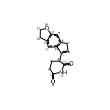 O=C1CCC(C2=CCc3cc4c(cc32)CCO4)C(=O)N1